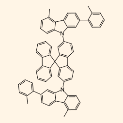 Cc1ccccc1-c1ccc2c3c(C)cccc3n(-c3ccc4c(c3)C3(c5ccccc5-c5ccccc53)c3cc(-n5c6cc(-c7ccccc7C)ccc6c6c(C)cccc65)ccc3-4)c2c1